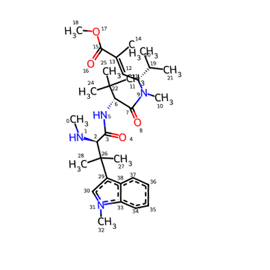 CN[C@@H](C(=O)N[C@@H](C(=O)N(C)[C@H](/C=C(\C)C(=O)OC)C(C)C)C(C)(C)C)C(C)(C)c1cn(C)c2ccccc12